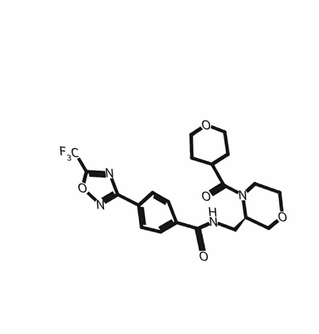 O=C(NC[C@@H]1COCCN1C(=O)C1CCOCC1)c1ccc(-c2noc(C(F)(F)F)n2)cc1